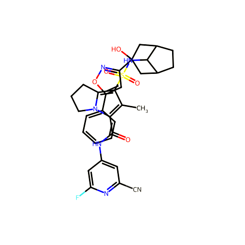 Cc1c(S(=O)(=O)NC2C3CCC2CC(O)(c2cc(-c4ccccc4)on2)C3)c2n(c1C(=O)Nc1cc(F)nc(C#N)c1)CCC2